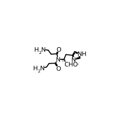 NCCC(=O)N(C(=O)CCN)[C@H]([C]=O)Cc1c[nH]cn1